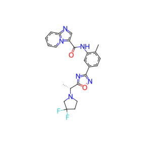 Cc1ccc(-c2noc([C@@H](C)N3CCC(F)(F)C3)n2)cc1NC(=O)c1cnc2ccccn12